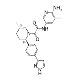 Cc1cc(NC(=O)C(=O)N2C[C@@H](C)CC[C@@H]2c2ccc(-c3cc[nH]n3)cc2)cnc1N